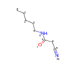 CCCCCNC(=O)CC#N